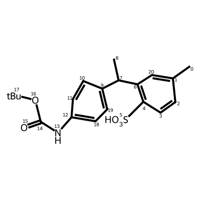 Cc1ccc(S(=O)(=O)O)c(C(C)c2ccc(NC(=O)OC(C)(C)C)cc2)c1